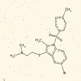 Cc1ccc(S(=O)(=O)n2c(C)c(SCCN(C)C)c3cc(Br)ccc32)cc1